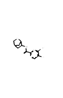 O=C(NC1CC2CNC1C2)c1ncc(Cl)c(O)n1